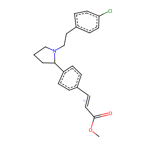 COC(=O)/C=C/c1ccc(C2CCCN2CCc2ccc(Cl)cc2)cc1